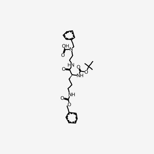 CC(C)(C)OC(=O)N[C@@H](CCCNC(=O)OCc1ccccc1)C(=O)NCCN(Cc1ccccc1)C(=O)O